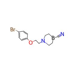 N#CB1CCN(CCOc2ccc(Br)cc2)CC1